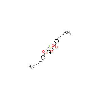 CCCCCCc1ccc(C(=O)O[C@H]2CO[C@@H]3[C@H](OC(=O)c4ccc(CCCCCC)cc4)CC[C@]23F)cc1